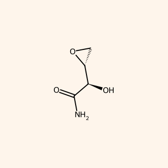 NC(=O)[C@H](O)[C@H]1CO1